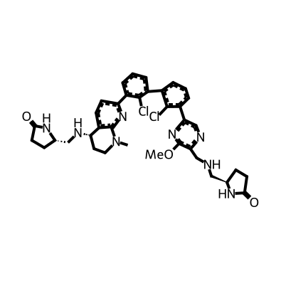 COc1nc(-c2cccc(-c3cccc(-c4ccc5c(n4)N(C)CC[C@@H]5NC[C@@H]4CCC(=O)N4)c3Cl)c2Cl)cnc1CNC[C@H]1CCC(=O)N1